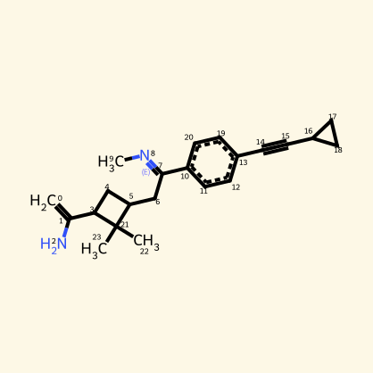 C=C(N)C1CC(C/C(=N\C)c2ccc(C#CC3CC3)cc2)C1(C)C